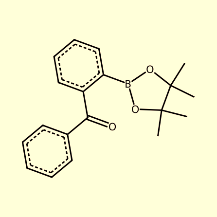 CC1(C)OB(c2ccccc2C(=O)c2ccccc2)OC1(C)C